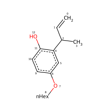 C=CC(C)c1cc(OCCCCCC)ccc1O